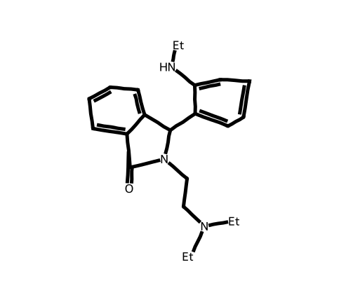 CCNc1ccccc1C1c2ccccc2C(=O)N1CCN(CC)CC